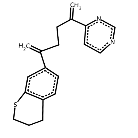 C=C(CCC(=C)c1ccncn1)c1ccc2c(c1)SCCC2